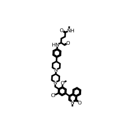 CNC(=O)CCC(C=O)Nc1ccc(C2CCN(C3CCN(Cc4c(Cl)cc(-c5cn(C)c(=O)c6ccccc56)cc4OC)CC3)CC2)cc1